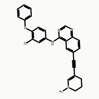 CC(=O)N1C=C(C#Cc2ccc3ncnc(Nc4ccc(Oc5ccccc5)c(Cl)c4)c3c2)CCC1